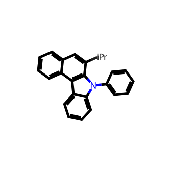 CC(C)c1cc2ccccc2c2c3ccccc3n(-c3ccccc3)c12